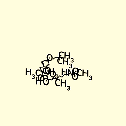 COC(=O)N/C=C/CCC(C)c1cc(O)c(C(=O)C(C)(C)Cc2ccc(OCCC(C)C)cc2)c(=O)o1